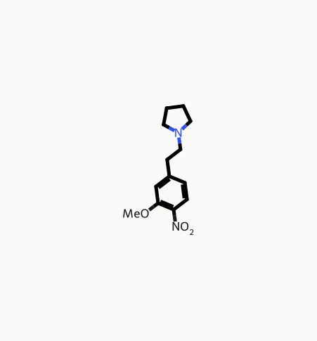 COc1cc(CCN2CCCC2)ccc1[N+](=O)[O-]